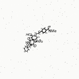 CCCCN1C(=O)[C@@H](CC2(O)CCCCC2)NC(=O)C12CCN(CCOc1ccc(C(=O)NC)cc1)CC2.Cl